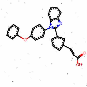 O=C(O)/C=C/c1cccc(-c2nc3ccccc3n2-c2ccc(Oc3ccccc3)cc2)c1